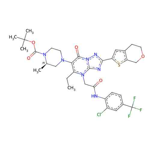 CCc1c(N2CCN(C(=O)OC(C)(C)C)[C@H](C)C2)c(=O)n2nc(-c3cc4c(s3)COCC4)nc2n1CC(=O)Nc1ccc(C(F)(F)F)cc1Cl